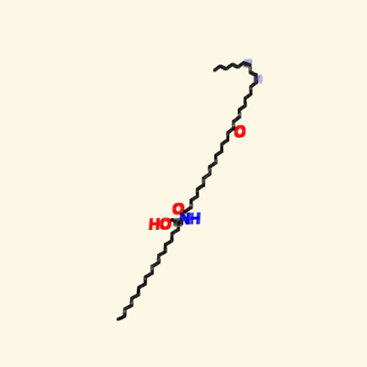 CCCCC/C=C\C/C=C\CCCCCCCC(=O)CCCCCCCCCCCCCCC(=O)N[C@H](CO)CCCCCCCCCCCCCCCCCC